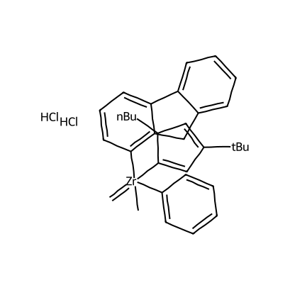 Cl.Cl.[CH2]=[Zr]([CH3])([C]1=CC(C(C)(C)C)=CC1CCCC)([c]1ccccc1)[c]1cccc2c1Cc1ccccc1-2